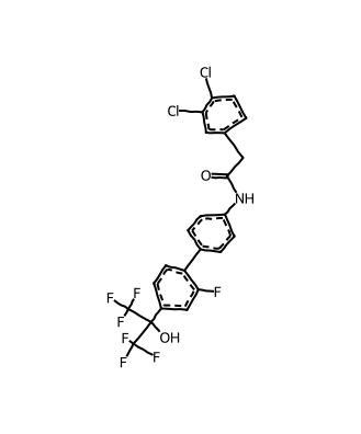 O=C(Cc1ccc(Cl)c(Cl)c1)Nc1ccc(-c2ccc(C(O)(C(F)(F)F)C(F)(F)F)cc2F)cc1